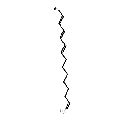 C=CCCCCCCC=CC=CC=CCCC